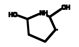 OC1[CH]CCC(O)N1